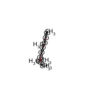 COc1cc(C(=O)Oc2ccc(C(=O)Oc3ccc(C(=O)Oc4ccc(OC(=O)c5ccc(OC(=O)c6ccc(OC(C)=O)cc6)cc5)c(C)c4)cc3)cc2)c(OC)cc1OCCC(C)OC